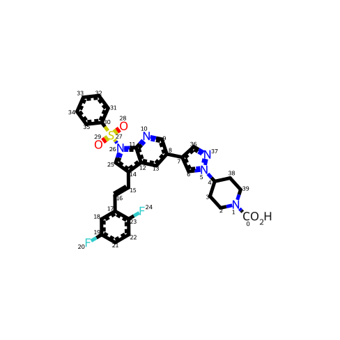 O=C(O)N1CCC(n2cc(-c3cnc4c(c3)c(C=Cc3cc(F)ccc3F)cn4S(=O)(=O)c3ccccc3)cn2)CC1